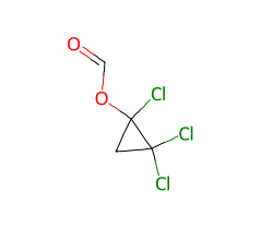 O=COC1(Cl)CC1(Cl)Cl